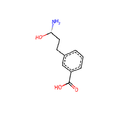 N[C@@H](O)CCc1cccc(C(=O)O)c1